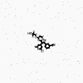 Cc1cc(-c2c(-c3cccc(C#N)c3)nn3ccc(OCC(C)(C)O)nc23)cc(Cl)n1